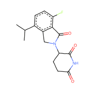 CC(C)c1ccc(F)c2c1CN(C1CCC(=O)NC1=O)C2=O